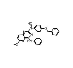 COc1ccc2nc(Nc3ccc(OCc4ccccc4)cc3)nc(Nc3ccccc3)c2c1.Cl